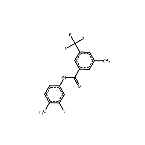 Cc1cc(C(=O)Nc2ccc(C)c(I)c2)cc(C(F)(F)F)c1